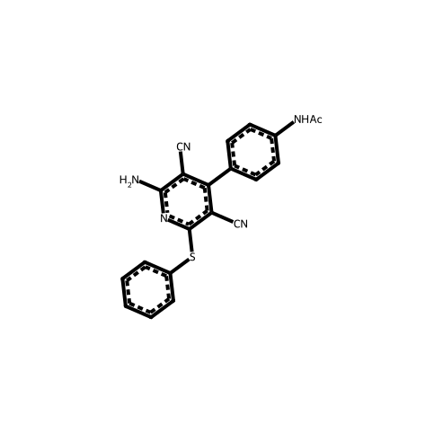 CC(=O)Nc1ccc(-c2c(C#N)c(N)nc(Sc3ccccc3)c2C#N)cc1